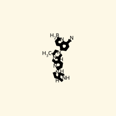 Bc1ccc2c(N3C[C@@H](C)N4Cc5nc(N6CC[C@H]7CNC[C@H]76)ccc5[C@H]4C3)ccc(C#N)c2n1